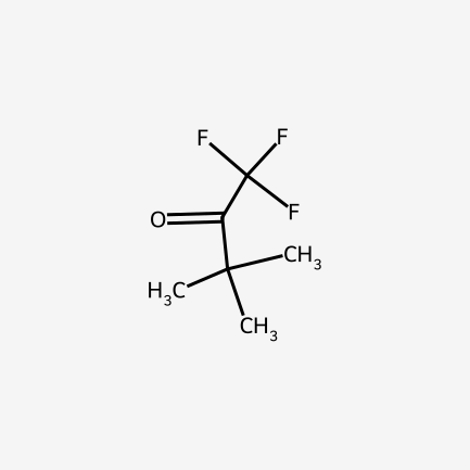 CC(C)(C)C(=O)C(F)(F)F